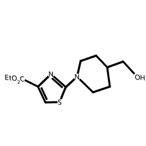 CCOC(=O)c1csc(N2CCC(CO)CC2)n1